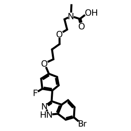 CN(CCOCCCOc1ccc(-c2n[nH]c3cc(Br)ccc23)c(F)c1)C(=O)O